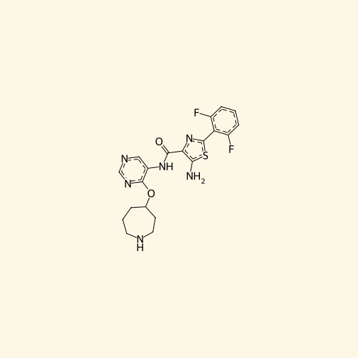 Nc1sc(-c2c(F)cccc2F)nc1C(=O)Nc1cncnc1OC1CCCNCC1